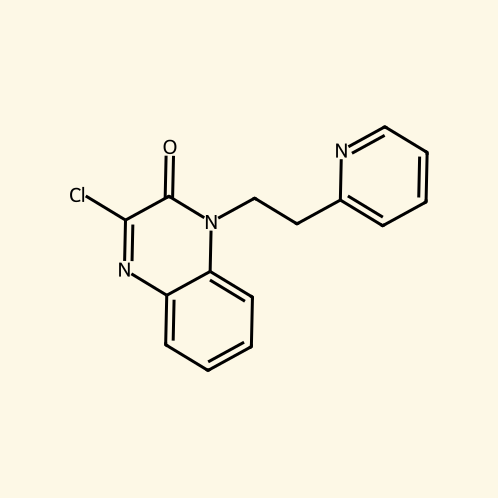 O=c1c(Cl)nc2ccccc2n1CCc1ccccn1